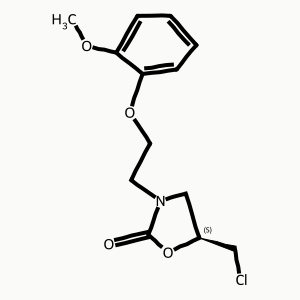 COc1ccccc1OCCN1C[C@@H](CCl)OC1=O